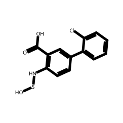 O=C(O)c1cc(-c2ccccc2Cl)ccc1NSO